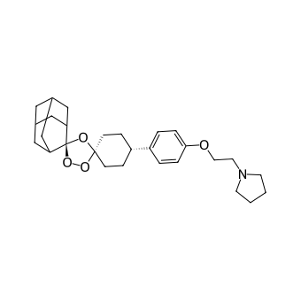 c1cc([C@H]2CC[C@]3(CC2)OO[C@]2(O3)C3CC4CC(C3)CC2C4)ccc1OCCN1CCCC1